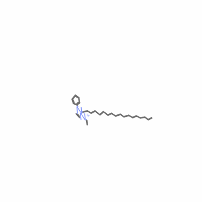 CCCCCCCCCCCCCCCCCc1n(-c2ccccc2)cc[n+]1CC